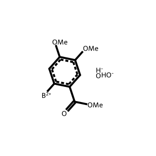 [B+2]c1cc(OC)c(OC)cc1C(=O)OC.[OH-].[OH-]